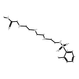 COC(=O)COCCOCCOCCOS(=O)(=O)c1ccccc1C